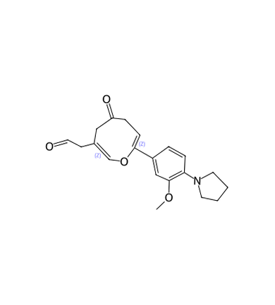 COc1cc(/C2=C/CC(=O)C/C(CC=O)=C\O2)ccc1N1CCCC1